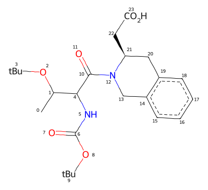 CC(OC(C)(C)C)C(NC(=O)OC(C)(C)C)C(=O)N1Cc2ccccc2C[C@@H]1CC(=O)O